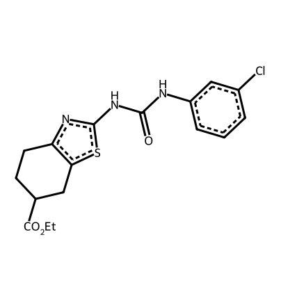 CCOC(=O)C1CCc2nc(NC(=O)Nc3cccc(Cl)c3)sc2C1